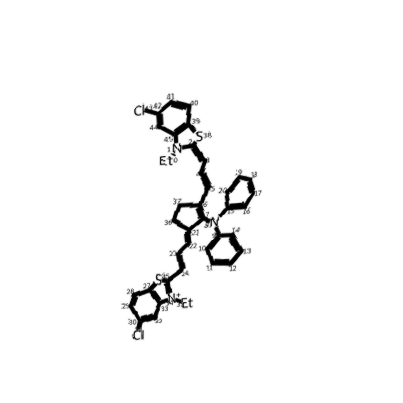 CCN1/C(=C\C=C\C2=C(N(c3ccccc3)c3ccccc3)C(=C/C=C/c3sc4ccc(Cl)cc4[n+]3CC)/CC2)Sc2ccc(Cl)cc21